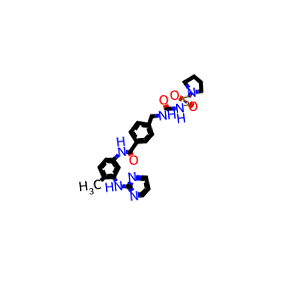 Cc1ccc(NC(=O)c2ccc(CNC(=O)NS(=O)(=O)N3CCCC3)cc2)cc1Nc1ncccn1